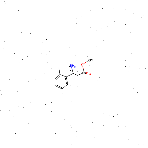 CCCOC(=O)CC(N)c1ccccc1C